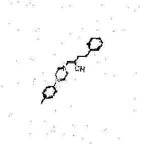 Cc1ccc(N2CCN(CC(O)CCc3ccccc3)CC2)cc1